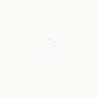 CC(C)(C)OC(=O)N1CCN(C2CN(C(=O)OC(C)(C)C)Cc3ccc(C#N)nc32)CC1